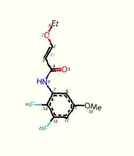 CCO/C=C/C(=O)Nc1cc(OC)cc(F)c1F